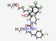 CNCC(CC1CCC(F)CC1)NC(=O)N1CCC[C@@H]([C@@](O)(CCCCOC)c2ccc(F)c(Cl)c2F)C1